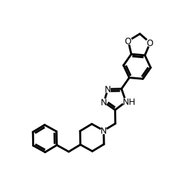 c1ccc(CC2CCN(Cc3nnc(-c4ccc5c(c4)OCO5)[nH]3)CC2)cc1